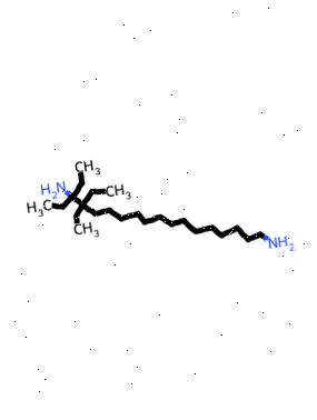 CCC(N)(CC)C(CC)(CC)CCCCCCCCCCCCCCN